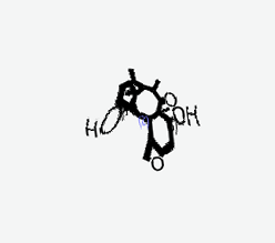 CC1=C2C(C)C(=O)[C@@]3(C)/C(=C\[C@](O)(CC1)C2(C)C)C1COC1C[C@@H]3O